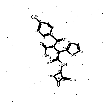 NC(=O)N(C(=O)c1ccc(Cl)cc1)C(C(=O)NC1CNC1=O)c1cccs1